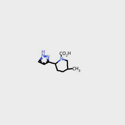 CC1CCC(c2cc[nH]n2)N(C(=O)O)C1